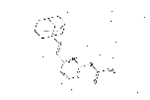 NC(=O)Oc1nccc(C=NC23CC4CC(CC(C4)C2)C3)n1